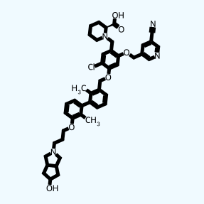 Cc1c(COc2cc(OCc3cncc(C#N)c3)c(CN3CCCC[C@H]3C(=O)O)cc2Cl)cccc1-c1cccc(OCCCN2CC3CC(O)CC3C2)c1C